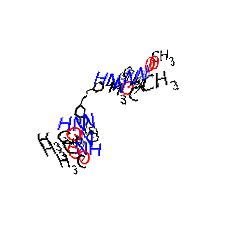 COO/C=N/[C@H](C(=O)N1CCC[C@H]1c1ncc(-c2ccc(CC=Cc3ccc4[nH]c([C@@H]5CCCN5C(=O)[C@@H](NC(=O)OC)C(C)C)nc4c3)cc2)[nH]1)C(C)C